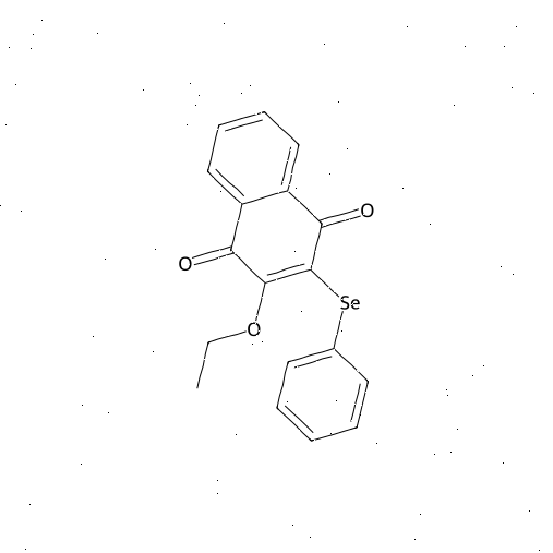 CCOC1=C([Se]c2ccccc2)C(=O)c2ccccc2C1=O